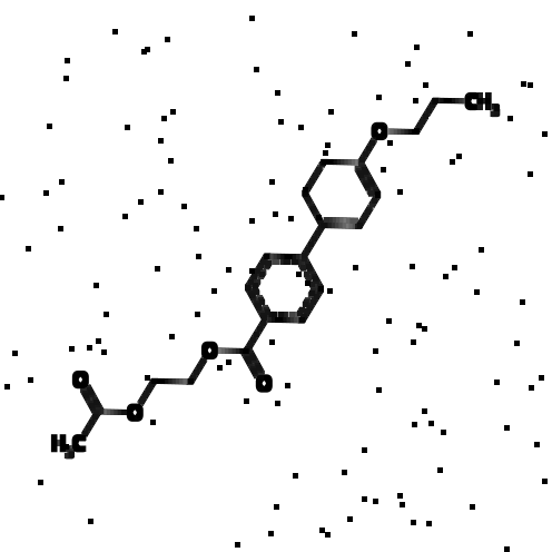 CCCOC1=CC=C(c2ccc(C(=O)OCCOC(C)=O)cc2)CC1